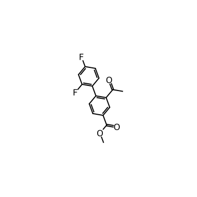 COC(=O)c1ccc(-c2ccc(F)cc2F)c(C(C)=O)c1